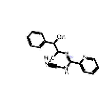 CC(/N=C(\NC#N)c1ccccn1)C(O)c1ccccc1